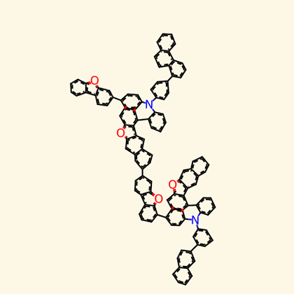 c1cc(-c2ccc3ccccc3c2)cc(N(c2ccc(-c3cccc4c3oc3cc(-c5ccc6cc7c(cc6c5)oc5cccc(-c6ccccc6N(c6ccc(-c8ccc9c(c8)oc8ccccc89)cc6)c6ccc(-c8cccc9c8ccc8ccccc89)cc6)c57)ccc34)cc2)c2ccccc2-c2cccc3oc4cc5ccccc5cc4c23)c1